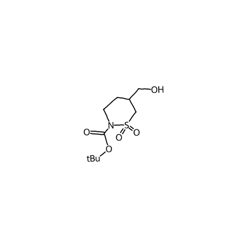 CC(C)(C)OC(=O)N1CCC(CO)CS1(=O)=O